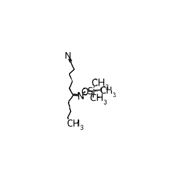 CCCCC(CCCCC#N)=NO[Si](C)(C)C